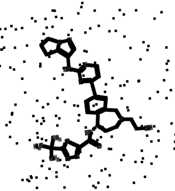 CC(C)(C)c1nnc(C(=O)N[C@H]2CCN(CCO)Cc3cc(-c4ccnc(Nc5cnn6c5CCC6)n4)ccc32)o1